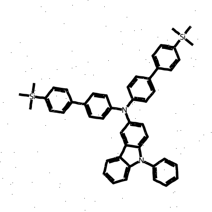 C[Si](C)(C)c1ccc(-c2ccc(N(c3ccc(-c4ccc([Si](C)(C)C)cc4)cc3)c3ccc4c(c3)c3ccccc3n4-c3ccccc3)cc2)cc1